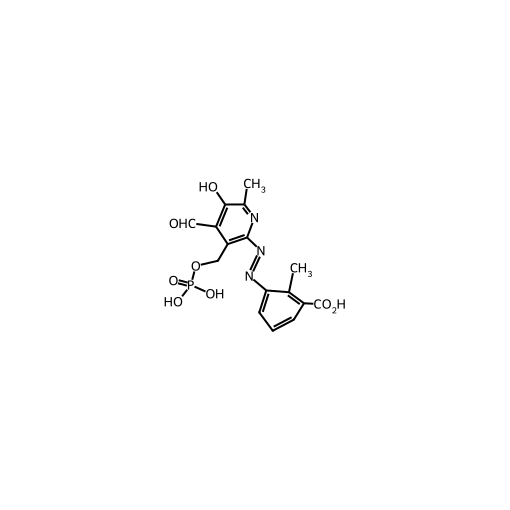 Cc1nc(N=Nc2cccc(C(=O)O)c2C)c(COP(=O)(O)O)c(C=O)c1O